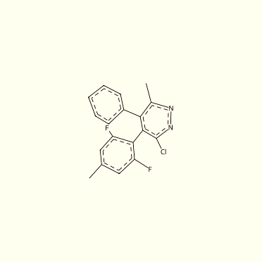 Cc1cc(F)c(-c2c(Cl)nnc(C)c2-c2ccccc2)c(F)c1